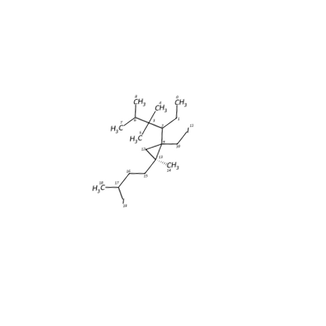 CCC(C(C)(C)C(C)C)C1(CI)C[C@]1(C)CCC(C)I